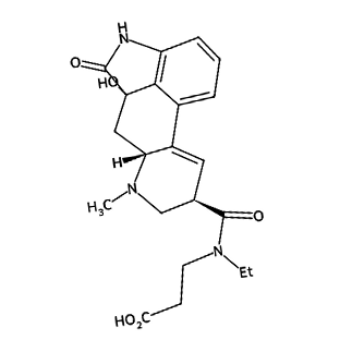 CCN(CCC(=O)O)C(=O)[C@@H]1C=C2c3cccc4c3C(O)(C[C@H]2N(C)C1)C(=O)N4